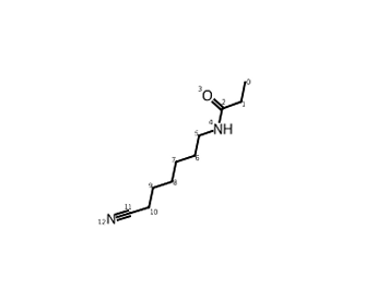 CCC(=O)NCCCCCCC#N